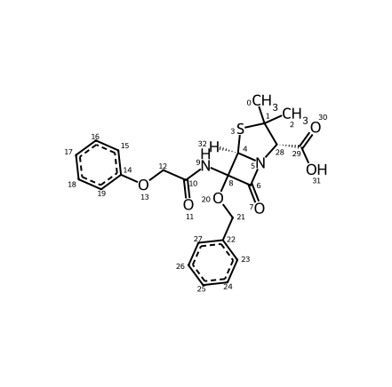 CC1(C)S[C@H]2N(C(=O)C2(NC(=O)COc2ccccc2)OCc2ccccc2)[C@H]1C(=O)O